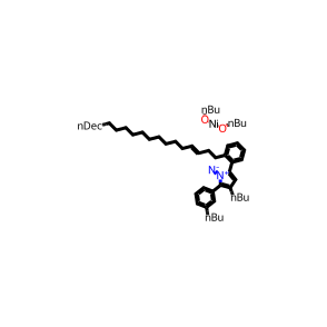 CCCCCCCCCCCCCCCCCCCCC=CCCc1ccccc1C1=CC(CCCC)=C(c2cccc(CCCC)c2)[N+]1=[N-].CCCC[O][Ni][O]CCCC